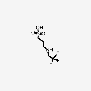 O=S(=O)(O)CCCNCC(F)(F)F